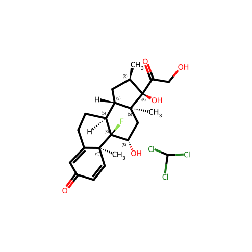 C[C@@H]1C[C@H]2[C@@H]3CCC4=CC(=O)C=C[C@]4(C)[C@@]3(F)[C@@H](O)C[C@]2(C)[C@@]1(O)C(=O)CO.ClC(Cl)Cl